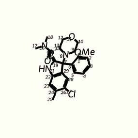 COc1ccccc1C1(N2CCOC[C@H]2C(=O)N(C)C)C(=O)Nc2cc(C)c(Cl)cc21